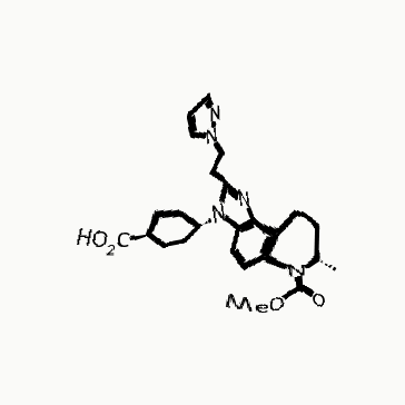 COC(=O)N1c2ccc3c(nc(CCn4cccn4)n3[C@H]3CC[C@H](C(=O)O)CC3)c2CC[C@@H]1C